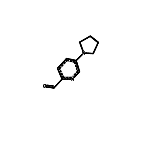 O=Cc1ccc(N2CCCC2)cn1